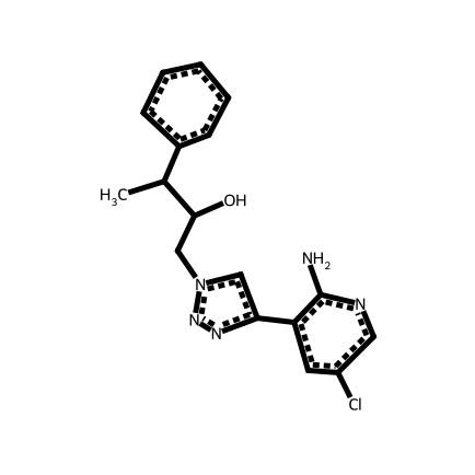 CC(c1ccccc1)C(O)Cn1cc(-c2cc(Cl)cnc2N)nn1